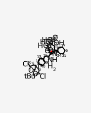 CC(C)(C)OC(=O)[N+](CCCl)(CCCl)c1ccc(C[C@H](N)C(=O)NC2(CCC(O)(P(=O)(O)O)P(=O)(O)O)CCCCC2)cc1